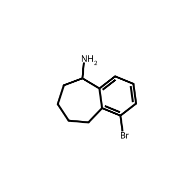 NC1CCCCc2c(Br)cccc21